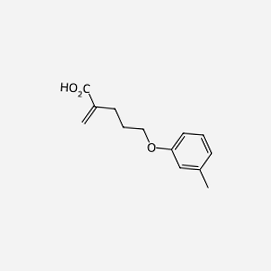 C=C(CCCOc1cccc(C)c1)C(=O)O